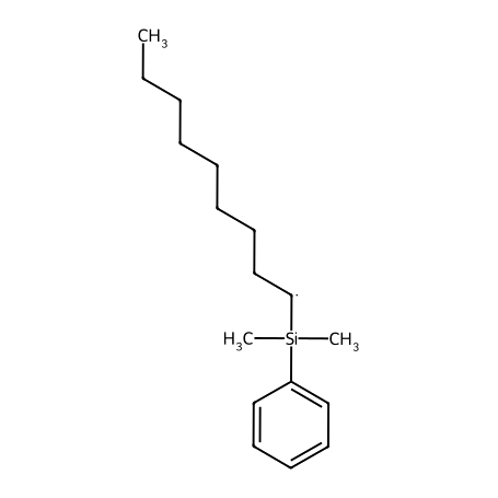 CCCCCCCC[CH][Si](C)(C)c1ccccc1